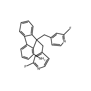 Nc1cccc2c1C(Cc1ccnc(F)c1)(Cc1ccnc(F)c1)c1ccccc1-2